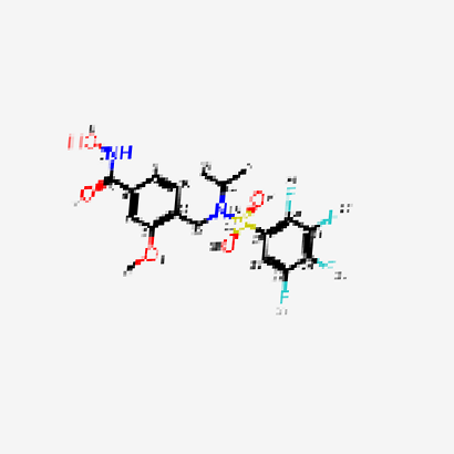 COc1cc(C(=O)NO)ccc1CN(C(C)C)S(=O)(=O)c1cc(F)c(F)c(F)c1F